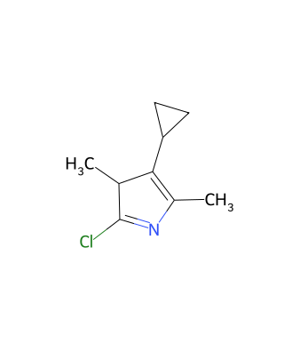 CC1=C(C2CC2)C(C)C(Cl)=N1